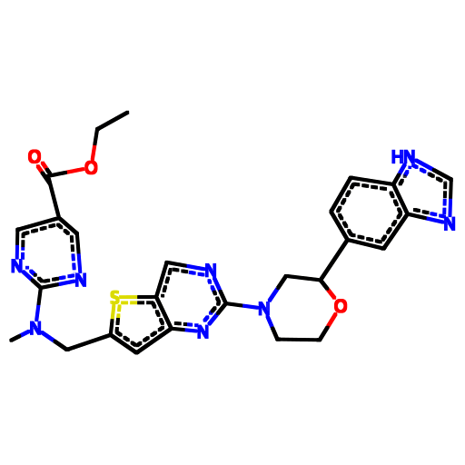 CCOC(=O)c1cnc(N(C)Cc2cc3nc(N4CCOC(c5ccc6[nH]cnc6c5)C4)ncc3s2)nc1